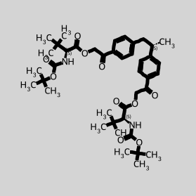 C[C@@H](Cc1ccc(C(=O)COC(=O)[C@@H](NC(=O)OC(C)(C)C)C(C)(C)C)cc1)c1ccc(C(=O)COC(=O)[C@@H](NC(=O)OC(C)(C)C)C(C)(C)C)cc1